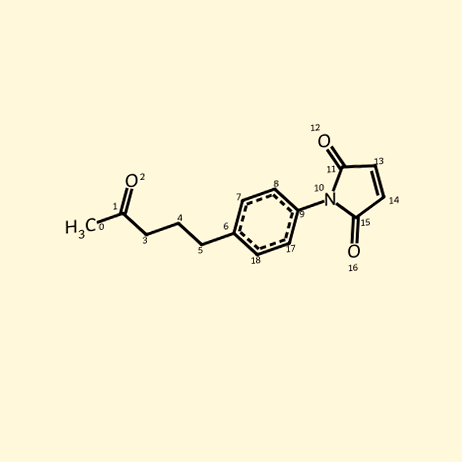 CC(=O)CCCc1ccc(N2C(=O)C=CC2=O)cc1